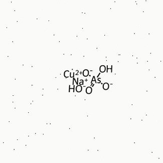 O=[As]([O-])([O-])O.[Cu+2].[Na+].[OH-]